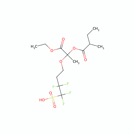 CCOC(=O)C(C)(OCCC(F)(F)C(F)(F)S(=O)(=O)O)OC(=O)C(C)CC